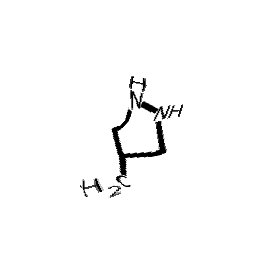 [CH2]C1CNNC1